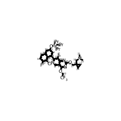 CC(C)[Si](Oc1cc(-c2ncc3c(OCC(F)(F)F)nc(OCC4(CN(C)C)CC4)nc3c2F)c2c(Cl)c(F)ccc2c1)(C(C)C)C(C)C